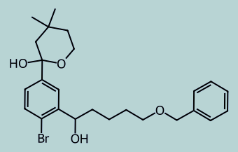 CC1(C)CCOC(O)(c2ccc(Br)c(C(O)CCCCOCc3ccccc3)c2)C1